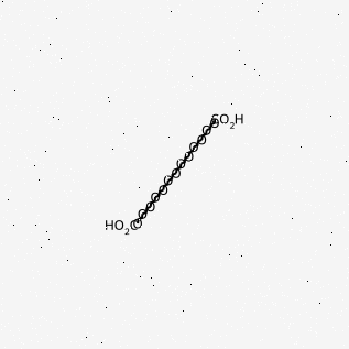 O=C(O)OCCOCCOCCOCCOCCOCCOCCOCCOCCOCCOCCOCCOC(=O)O